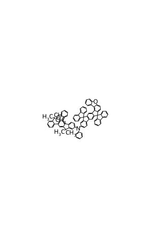 CC(C)(C)c1ccccc1-c1cc2c(c3c1oc1ccccc13)-c1ccc(N(c3ccccc3)c3ccc4c(c3)C3(c5ccccc5-c5ccccc53)c3cc5c(cc3-4)C3(c4ccccc4-c4ccccc43)c3ccc4oc6ccccc6c4c3-5)cc1C2(C)C